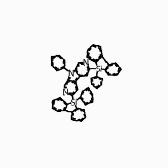 c1ccc(-n2c3cnc([Si]4(c5ccccc5)c5ccccc5-c5ccccc54)cc3c3cc([Si]4(c5ccccc5)c5ccccc5-c5ccccc54)ncc32)cc1